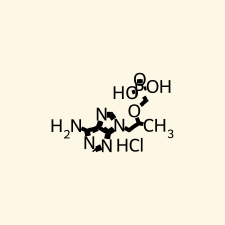 CC(Cn1cnc2c(N)ncnc21)OCP(=O)(O)O.Cl